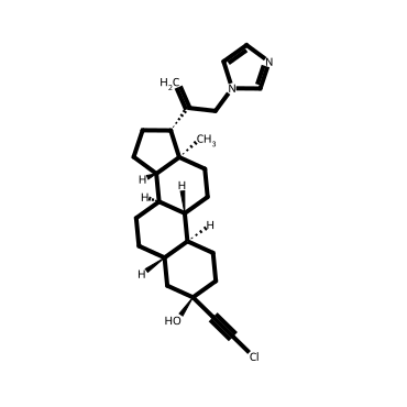 C=C(Cn1ccnc1)[C@H]1CC[C@H]2[C@@H]3CC[C@H]4C[C@@](O)(C#CCl)CC[C@@H]4[C@H]3CC[C@]12C